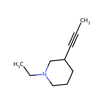 CC#CC1CCCN(CC)C1